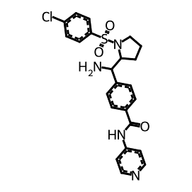 NC(c1ccc(C(=O)Nc2ccncc2)cc1)C1CCCN1S(=O)(=O)c1ccc(Cl)cc1